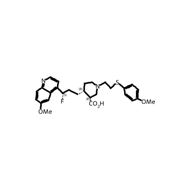 COc1ccc(SCCN2CC[C@@H](CC[C@H](F)c3ccnc4ccc(OC)cc34)[C@@H](C(=O)O)C2)cc1